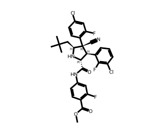 COC(=O)c1ccc(NC(=O)[C@@H]2N[C@@H](CC(C)(C)C)[C@](C#N)(c3ccc(Cl)cc3F)[C@H]2c2cccc(Cl)c2F)cc1F